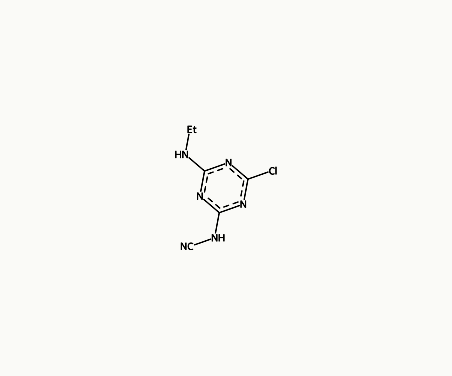 CCNc1nc(Cl)nc(NC#N)n1